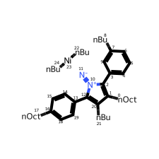 CCCCCCCCC1=C(c2cccc(CCCC)c2)[N+](=[N-])C(c2ccc(CCCCCCCC)cc2)=C1CCCC.CCC[CH2][Ni][CH2]CCC